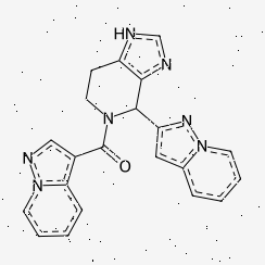 O=C(c1cnn2ccccc12)N1CCc2[nH]cnc2C1c1cc2ccccn2n1